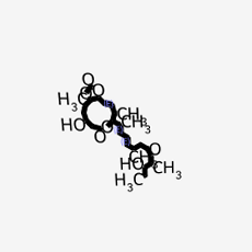 CCC(O)C(C)C1OC1CC(C)/C=C/C=C(\C)C1OC(=O)CC(O)CCC2(C)OC(=O)OC2/C=C/C1C